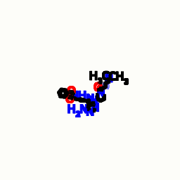 CN(C)C/C=C/C(=O)N1CCCC(n2nc(C#CCNS(=O)(=O)c3ccccc3)c3c(N)ncnc32)C1